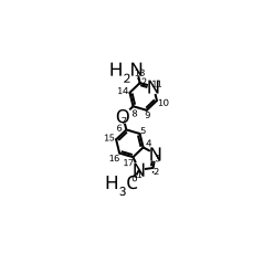 Cn1[c]nc2cc(Oc3ccnc(N)c3)ccc21